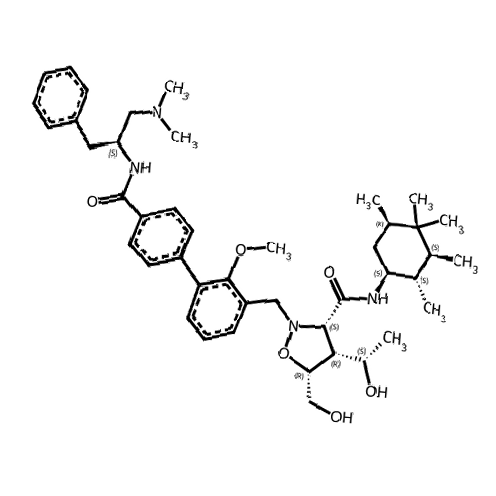 COc1c(CN2O[C@@H](CO)[C@@H]([C@H](C)O)[C@H]2C(=O)N[C@H]2C[C@@H](C)C(C)(C)[C@@H](C)[C@@H]2C)cccc1-c1ccc(C(=O)N[C@@H](Cc2ccccc2)CN(C)C)cc1